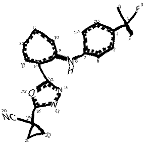 CC(C)(F)c1ccc(Nc2ccccc2-c2nnc(C3(C#N)CC3)o2)cc1